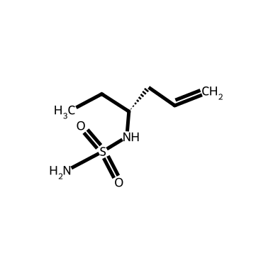 C=CC[C@@H](CC)NS(N)(=O)=O